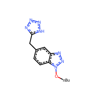 CCCCOn1nnc2cc(Cc3nnn[nH]3)ccc21